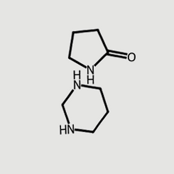 C1CNCNC1.O=C1CCCN1